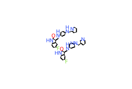 O=C1Nc2ccc(F)cc2C1=CNc1ccc(NCc2ccccn2)cc1.O=C1Nc2ccc(F)cc2C1=CNc1ccc(NCc2cccnc2)cc1